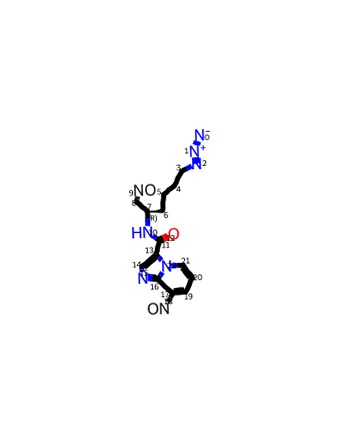 [N-]=[N+]=NCCCC[C@H](CN=O)NC(=O)c1cnc2c(N=O)cccn12